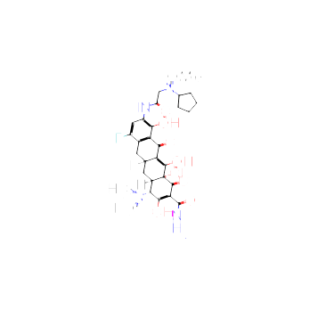 CON(CC(=O)Nc1cc(F)c2c(c1O)C(=O)C1=C(O)[C@]3(O)C(=O)C(C(N)=O)=C(O)[C@@H](N(C)C)[C@@H]3C[C@@H]1C2)C1CCCC1